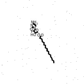 CCCCCCCC/C=C/CCCCCCCC(=O)OC[C@H]1O[C@@H](n2ccc(N)nc2=O)[C@@H](F)[C@@H]1O